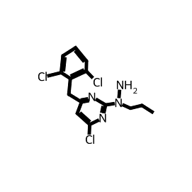 CCCN(N)c1nc(Cl)cc(Cc2c(Cl)cccc2Cl)n1